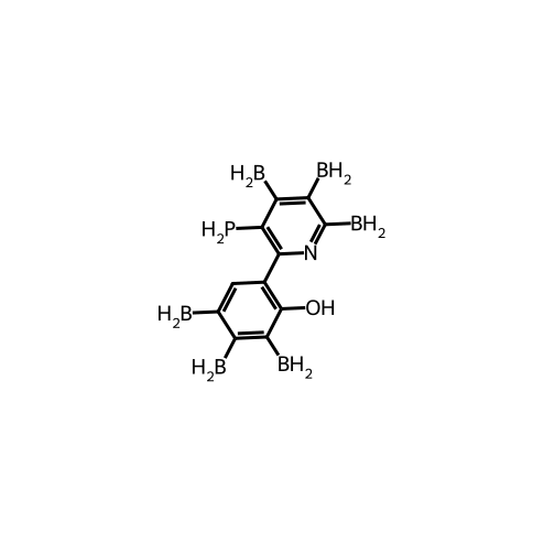 Bc1cc(-c2nc(B)c(B)c(B)c2P)c(O)c(B)c1B